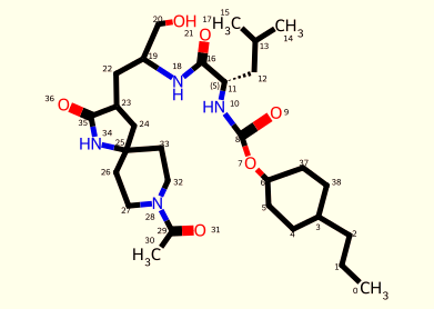 CCCC1CCC(OC(=O)N[C@@H](CC(C)C)C(=O)NC(CO)CC2CC3(CCN(C(C)=O)CC3)NC2=O)CC1